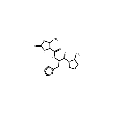 CC1OC(=O)NC1C(=O)NC(Cc1cscn1)C(=O)N1CCCC1C